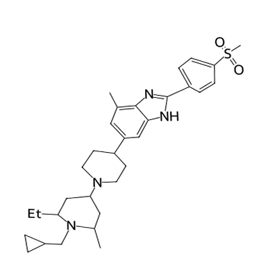 CCC1CC(N2CCC(c3cc(C)c4nc(-c5ccc(S(C)(=O)=O)cc5)[nH]c4c3)CC2)CC(C)N1CC1CC1